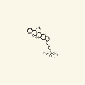 C[C@H](c1ccccc1)N1Cc2nc3cnn(COCC[Si](C)(C)C)c3cc2NC1=O